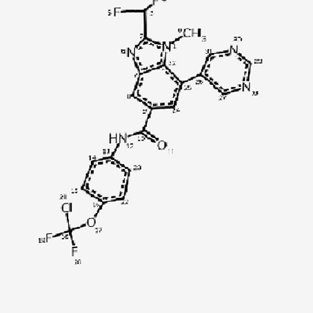 Cn1c(C(F)F)nc2cc(C(=O)Nc3ccc(OC(F)(F)Cl)cc3)cc(-c3cncnc3)c21